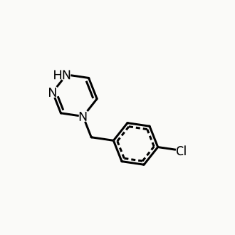 Clc1ccc(CN2C=CNN=C2)cc1